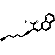 C#CCCCCC#CC(=Cc1ccc2ccccc2c1)C(=O)O